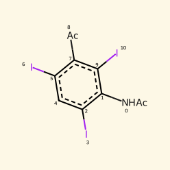 CC(=O)Nc1c(I)cc(I)c(C(C)=O)c1I